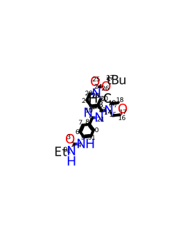 CCNC(=O)Nc1ccc(-c2nc3c(c(N4CCOC[C@H]4C)n2)CN(C(=O)OC(C)(C)C)CC3)cc1